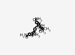 CCn1nc(C)cc1C(=O)Nc1nc2cc(C(N)=O)ccc2n1CCC1CCN(C(=O)Cn2c(N)nc3cc(C(N)=O)ccc32)CC1